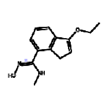 CCOC1=CCc2c1cccc2/C(=N/O)NC